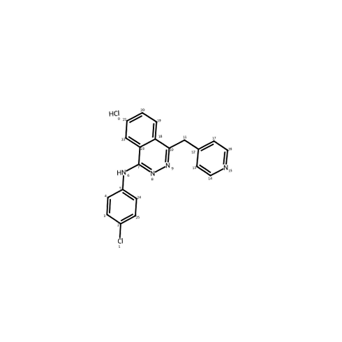 Cl.Clc1ccc(Nc2nnc(Cc3ccncc3)c3ccccc23)cc1